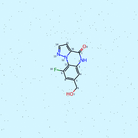 O=c1[nH]c2cc(CO)cc(F)c2n2nccc12